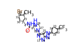 Cc1cc(CNC(=O)[C@H]2CN(c3ncnc4nn(-c5ccc(C(F)(F)F)cc5)cc34)CCN2)ccc1Br